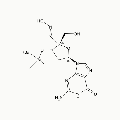 CC(C)(C)[Si](C)(C)OC1C[C@H](n2cnc3c(=O)[nH]c(N)nc32)O[C@]1(C=NO)CO